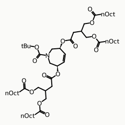 CCCCCCCCC(=O)OCC(COC(=O)CCCCCCCC)CC(=O)O[C@@H]1C=C[C@H](OC(=O)CC(COC(=O)CCCCCCCC)COC(=O)CCCCCCCC)CN(C(=O)OC(C)(C)C)C1